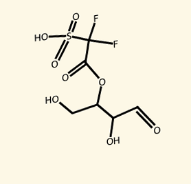 O=CC(O)C(CO)OC(=O)C(F)(F)S(=O)(=O)O